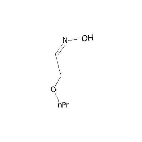 CCCOC/C=N\O